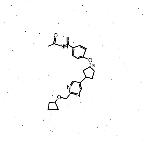 C=C(NC(C)=O)c1ccc(O[C@@H]2CCC(c3cnc(COC4CCC4)nc3)C2)cc1